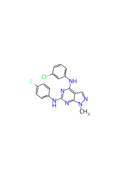 Cn1ncc2c(Nc3cccc(Cl)c3)nc(Nc3ccc(F)cc3)nc21